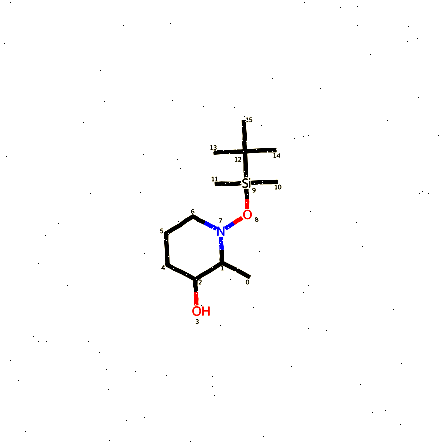 CC1C(O)CCCN1O[Si](C)(C)C(C)(C)C